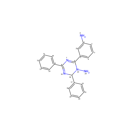 Nc1cccc(C2=NC(c3ccccc3)=NC(c3ccccc3)N2N)c1